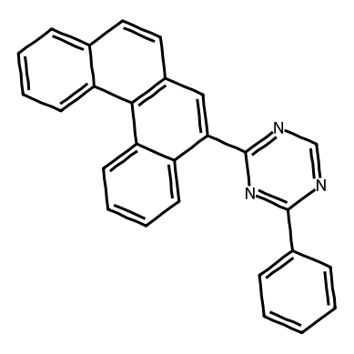 c1ccc(-c2ncnc(-c3cc4ccc5ccccc5c4c4ccccc34)n2)cc1